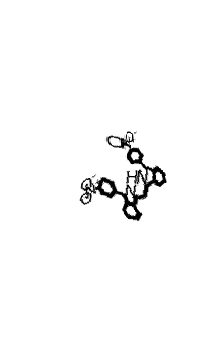 O=[N+]([O-])c1ccc(C2=NC(=Cc3[nH]c(-c4ccc([N+](=O)[O-])cc4)c4ccccc34)c3ccccc32)cc1